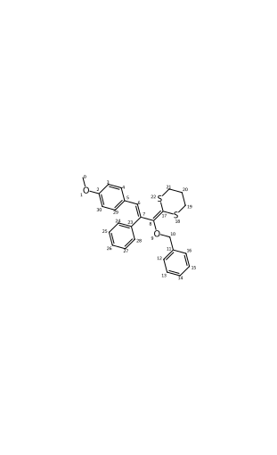 COc1ccc(/C=C(/C(OCc2ccccc2)=C2SCCCS2)c2ccccc2)cc1